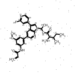 C=CC(=O)Nc1cc(OC)cc(-c2cnc3c(c2)c(-c2ccnc(F)c2)cn3C(C)OC(=O)C(N)C(C)CC)c1